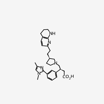 Cc1cn(C)c(-c2cccc([C@H](CC(=O)O)CN3CC[C@@H](CCc4ccc5c(n4)NCCC5)C3)c2)n1